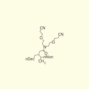 CCCCCCCCCCCC(CC(=O)N(CCOCCC#N)CCOCCC#N)C(C)CCCCCCCCC